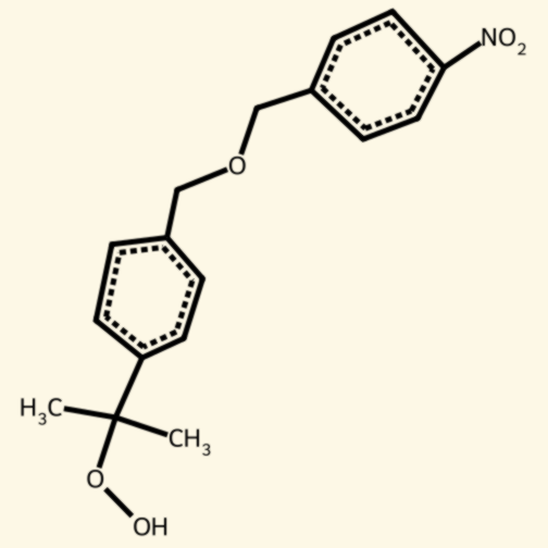 CC(C)(OO)c1ccc(COCc2ccc([N+](=O)[O-])cc2)cc1